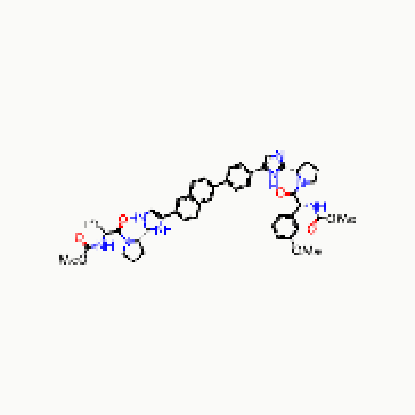 COC(=O)N[C@H](C(=O)N1CCC[C@H]1C1NC=C(c2ccc3cc(-c4ccc(-c5cnc([C@@H]6CCCN6C(=O)[C@H](NC(=O)OC)c6cccc(OC)c6)[nH]5)cc4)ccc3c2)N1)C(C)C